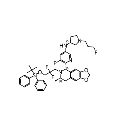 C[C@@H]1Cc2cc3c(cc2[C@@H](c2ncc(N[C@H]4CCN(CCCF)C4)cc2F)N1CC(F)(F)CO[Si](c1ccccc1)(c1ccccc1)C(C)(C)C)OCO3